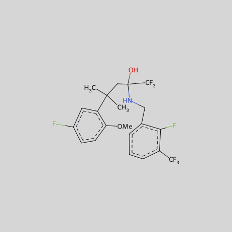 COc1ccc(F)cc1C(C)(C)CC(O)(NCc1cccc(C(F)(F)F)c1F)C(F)(F)F